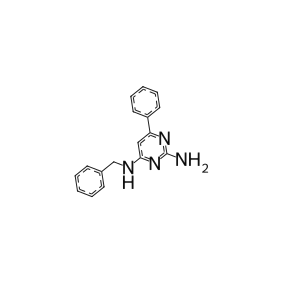 Nc1nc(NCc2ccccc2)cc(-c2ccccc2)n1